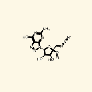 CCO[C@@]1(CN=[N+]=[N-])O[C@@H](n2nnc3c(O)nc(N)nc32)[C@H](O)[C@@H]1O